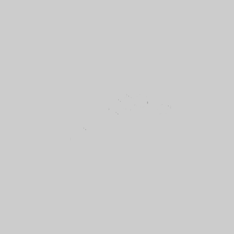 Cc1ncc(-c2ccc3nnc(NC(=O)C4CCC(NCC(F)F)CC4)cc3c2)o1